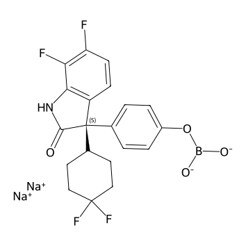 O=C1Nc2c(ccc(F)c2F)[C@@]1(c1ccc(OB([O-])[O-])cc1)C1CCC(F)(F)CC1.[Na+].[Na+]